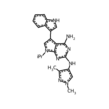 Cc1nn(C)cc1Nc1nc(N)c2c(-c3c[nH]c4ccccc34)cn(C(C)C)c2n1